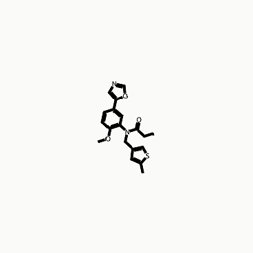 CCC(=O)N(Cc1csc(C)c1)c1cc(-c2cnco2)ccc1OC